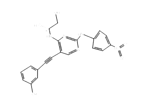 Cc1cccc(C#Cc2cnc(Nc3ccc([SH](=N)=O)cc3)nc2N[C@H](C)CO)c1